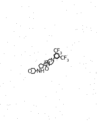 CC(C)[C@]1(C(=O)N2CCN(c3cc(C(F)(F)F)cc(C(F)(F)F)c3)CC2)CC[C@@H](NC2CCOCC2)C1